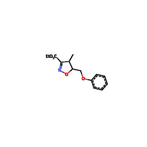 CCOC(=O)C1=NOC(COc2ccccc2)C1C